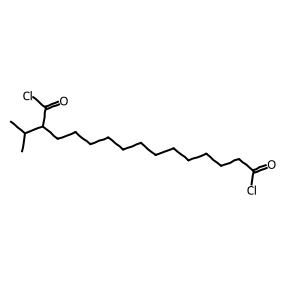 CC(C)C(CCCCCCCCCCCCC(=O)Cl)C(=O)Cl